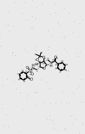 CC1(C)O[C@@H]2[C@@H](CNS(=O)(=O)c3ccccc3Cl)OC[C@]2(CNC(=O)c2ccccc2)O1